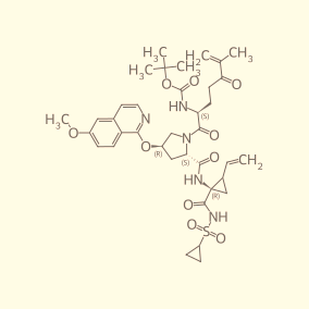 C=CC1C[C@]1(NC(=O)[C@@H]1C[C@@H](Oc2nccc3cc(OC)ccc23)CN1C(=O)[C@H](CCC(=O)C(=C)C)NC(=O)OC(C)(C)C)C(=O)NS(=O)(=O)C1CC1